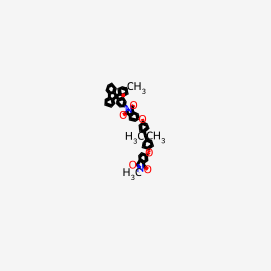 Cc1ccc(C2(c3ccc(N4C(=O)c5ccc(Oc6ccc(C(C)(C)c7ccc(Oc8ccc9c(c8)C(=O)N(C)C9=O)cc7)cc6)cc5C4=O)cc3)c3ccccc3-c3ccccc32)cc1